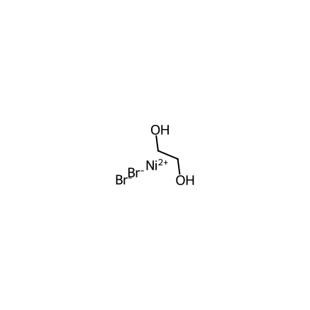 OCCO.[Br-].[Br-].[Ni+2]